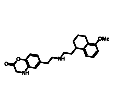 COc1cccc2c1CCCC2CCNCCc1ccc2c(c1)NCC(=O)O2